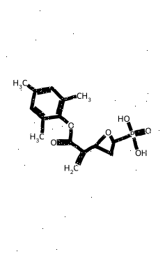 C=C(C(=O)Oc1c(C)cc(C)cc1C)C1CC(P(=O)(O)O)O1